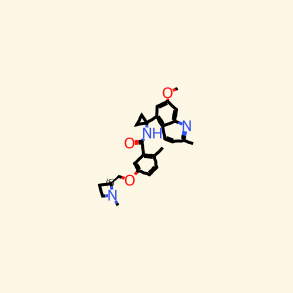 COc1cc(C2(NC(=O)c3cc(OC[C@@H]4CCN4C)ccc3C)CC2)c2ccc(C)nc2c1